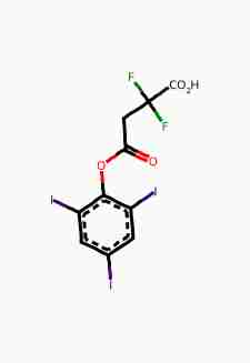 O=C(CC(F)(F)C(=O)O)Oc1c(I)cc(I)cc1I